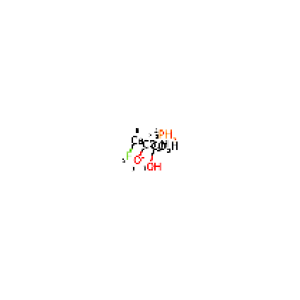 O=C(O)O.O=C([O-])O.P.[F][Ca+]